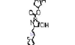 Cl.O=C(OC1CCNC1)n1ccc(/C=C/c2cccs2)n1